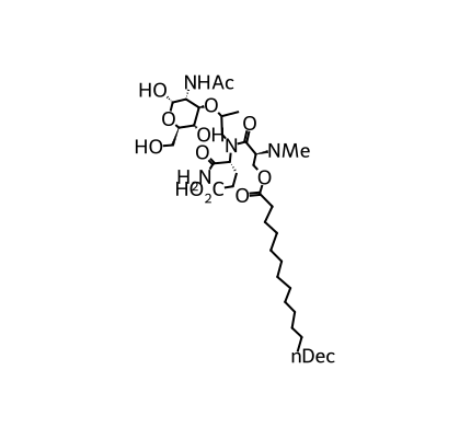 CCCCCCCCCCCCCCCCCCCCCC(=O)OC[C@H](NC)C(=O)N(CC(C)O[C@H]1[C@H](O)[C@@H](CO)O[C@H](O)[C@@H]1NC(C)=O)[C@H](CCC(=O)O)C(N)=O